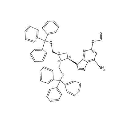 Nc1nc(OC=S)nc2c1ncn2[C@@H]1C[C@H](COC(c2ccccc2)(c2ccccc2)c2ccccc2)[C@H]1COC(c1ccccc1)(c1ccccc1)c1ccccc1